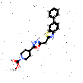 CC(C)(C)OC(=O)N1CCC(c2nnc(Cc3nc4ccc(-c5ccccc5)cc4s3)o2)CC1